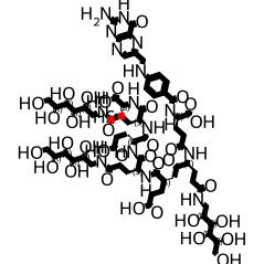 Nc1nc2ncc(CNc3ccc(C(=O)N[C@H](CCC(=O)N[C@@H](CCC(=O)NC[C@@H](O)[C@@H](O)[C@H](O)[C@H](O)CO)C(=O)C[C@H](CCC(=O)O)C(=O)N[C@@H](CCC(=O)NC[C@H](O)[C@@H](O)[C@H](O)[C@H](O)CO)C(=O)N[C@H](CCC(=O)O)C(=O)N[C@@H](CCC(=O)NC[C@H](O)[C@@H](O)[C@H](O)[C@H](O)CO)C(=O)N[C@H](CS)C(=O)O)C(=O)O)cc3)nc2c(=O)[nH]1